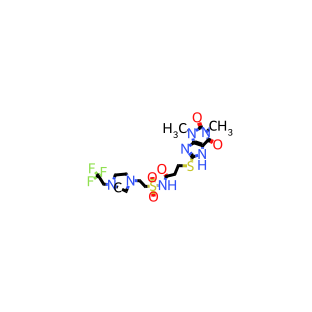 Cn1c(=O)c2[nH]c(SCCC(=O)NS(=O)(=O)CCN3CCN(CC(F)(F)F)CC3)nc2n(C)c1=O